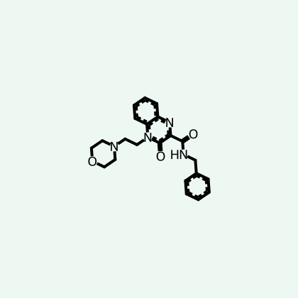 O=C(NCc1ccccc1)c1nc2ccccc2n(CCN2CCOCC2)c1=O